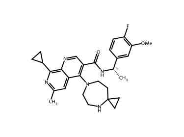 COc1cc([C@H](C)NC(=O)c2cnc3c(C4CC4)nc(C)cc3c2N2CCNC3(CC2)CC3)ccc1F